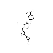 CC1C(=O)N(Cc2ccc3c(N)ncnc3c2)CCN1Cc1cc(-c2ccc(Cl)s2)no1